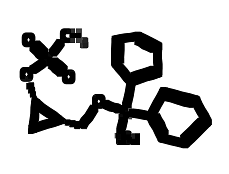 CC(C)(C)[Si](OC[C@@H]1C[C@@H]1OS(C)(=O)=O)(c1ccccc1)c1ccccc1